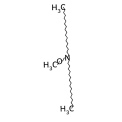 CCCCCCCCCCCCCCCCCCN(CCCCCCCCCCCCCCCCCC)CCOCC